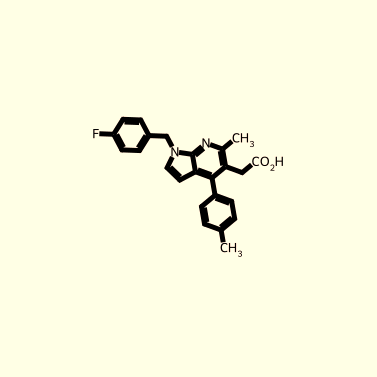 Cc1ccc(-c2c(CC(=O)O)c(C)nc3c2ccn3Cc2ccc(F)cc2)cc1